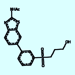 CC(=O)Nc1nc2ccc(-c3cccc(S(=O)(=O)CCCO)c3)cc2s1